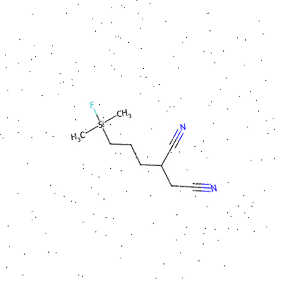 C[Si](C)(F)CCCC(C#N)CC#N